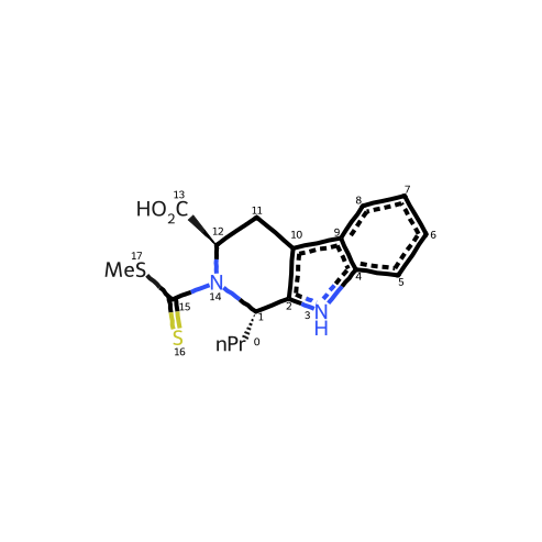 CCC[C@H]1c2[nH]c3ccccc3c2C[C@H](C(=O)O)N1C(=S)SC